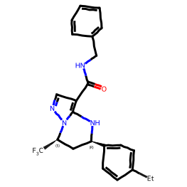 CCc1ccc([C@H]2C[C@@H](C(F)(F)F)n3ncc(C(=O)NCc4ccccc4)c3N2)cc1